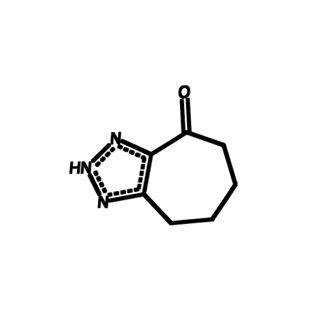 O=C1CCCCc2n[nH]nc21